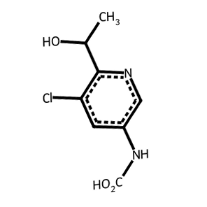 CC(O)c1ncc(NC(=O)O)cc1Cl